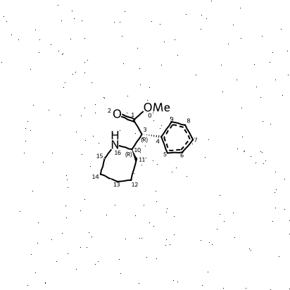 COC(=O)[C@H](c1ccccc1)[C@H]1CCCCCN1